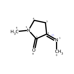 C/N=C1/CCN(C)C1=O